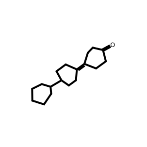 O=C1CCC(=C2CCC(C3CCCCC3)CC2)CC1